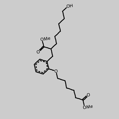 COC(=O)CCCCCOc1ccccc1CC(CCCCCCO)C(=O)OC